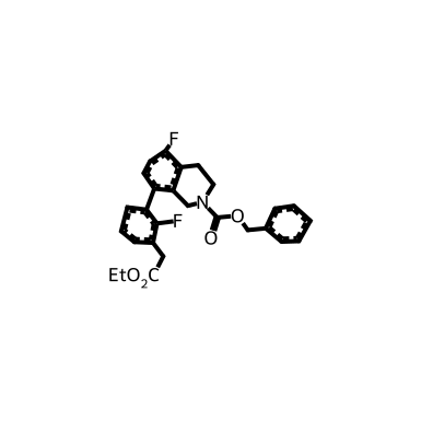 CCOC(=O)Cc1cccc(-c2ccc(F)c3c2CN(C(=O)OCc2ccccc2)CC3)c1F